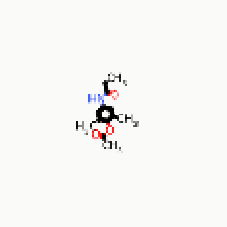 CCC(=O)Nc1cc(C)c(OC(C)=O)c(C)c1